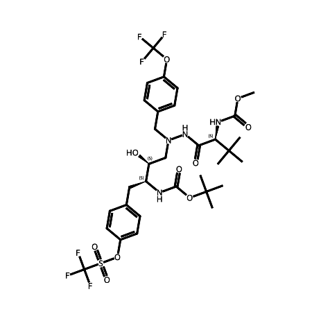 COC(=O)N[C@H](C(=O)NN(Cc1ccc(OC(F)(F)F)cc1)C[C@H](O)[C@H](Cc1ccc(OS(=O)(=O)C(F)(F)F)cc1)NC(=O)OC(C)(C)C)C(C)(C)C